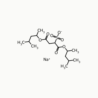 CC(C)CC(C)OC(=O)CC(C(=O)OC(C)CC(C)C)S(=O)(=O)[O-].[Na+]